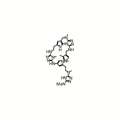 CNc1nnc(N(C)CCc2cc(Nc3nnc(NCCc4cc(CN(C)c5nnc(NCc6cscc6C)[nH]5)c[nH]4)n3C)c[nH]2)[nH]1